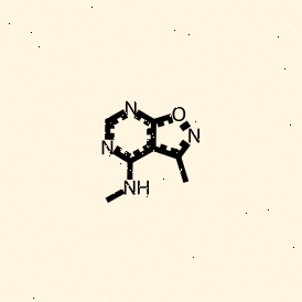 CNc1ncnc2onc(C)c12